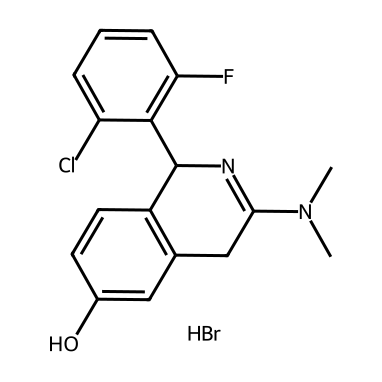 Br.CN(C)C1=NC(c2c(F)cccc2Cl)c2ccc(O)cc2C1